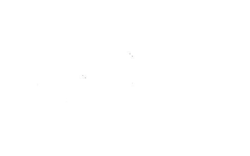 O=C(CC(F)(F)F)N1CCc2nc(COc3ccccc3)oc2C1